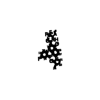 CC[C@@H](NC(=O)c1cn(-c2ccc(F)cc2F)c2nc(N3CCC(C)C3=O)ccc2c1=O)C(F)(F)F